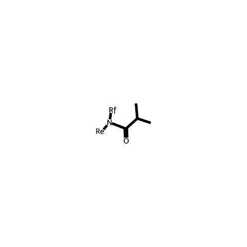 CC(C)C(=O)[N]([Re])[Rf]